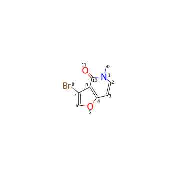 Cn1ccc2occ(Br)c2c1=O